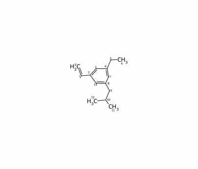 C=[C]c1cc(CC)cc(CC(C)C)c1